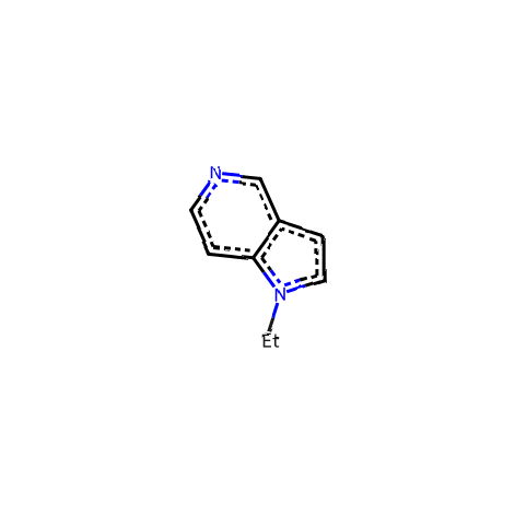 CCn1ccc2cnccc21